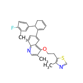 Cc1cc(C2CC=CC=C2c2ccc3ncc(C)c(OCCc4scnc4C)c3c2)ccc1F